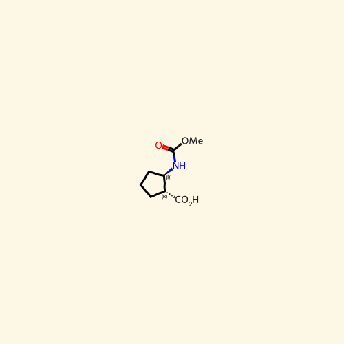 COC(=O)N[C@@H]1CCC[C@H]1C(=O)O